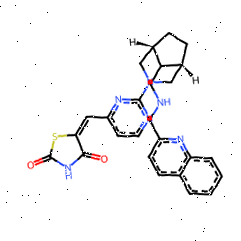 O=C1NC(=O)/C(=C\c2ccnc(N3C[C@H]4CC[C@@H](C3)C4CNCc3ccc4ccccc4n3)n2)S1